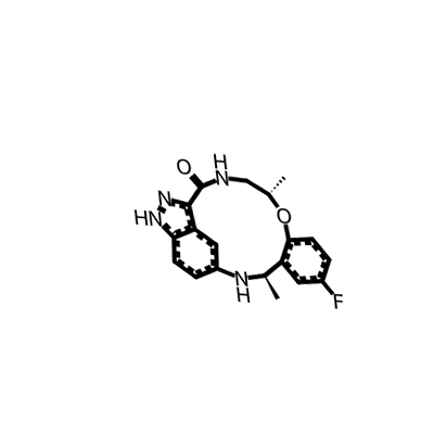 C[C@H]1CNC(=O)c2n[nH]c3ccc(cc23)N[C@H](C)c2cc(F)ccc2O1